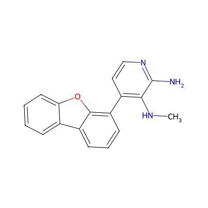 CNc1c(-c2cccc3c2oc2ccccc23)ccnc1N